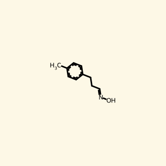 Cc1ccc(CCC=NO)cc1